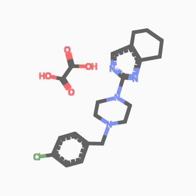 Clc1ccc(CN2CCN(c3ncc4c(n3)CCCC4)CC2)cc1.O=C(O)C(=O)O